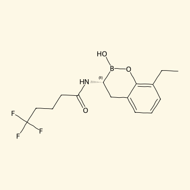 CCc1cccc2c1OB(O)[C@@H](NC(=O)CCCC(F)(F)F)C2